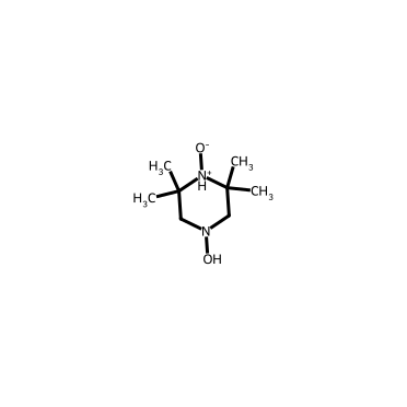 CC1(C)CN(O)CC(C)(C)[NH+]1[O-]